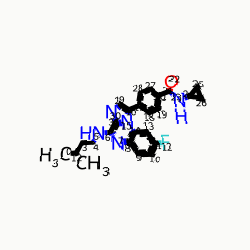 CC(C)CCNc1nc2ccc(F)cc2n2c(-c3ccc(C(=O)NC4CC4)cc3)cnc12